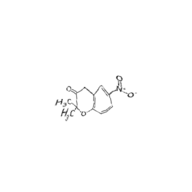 CC1(C)Oc2ccc([N+](=O)[O-])cc2CC1=O